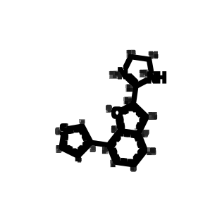 c1cc(-c2ccsc2)c2oc(C3=NCCN3)cc2c1